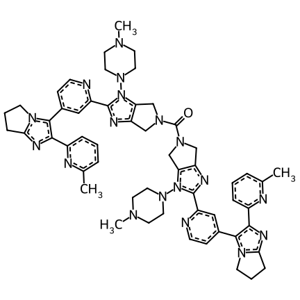 Cc1cccc(-c2nc3n(c2-c2ccnc(-c4nc5c(n4N4CCN(C)CC4)CN(C(=O)N4Cc6nc(-c7cc(-c8c(-c9cccc(C)n9)nc9n8CCC9)ccn7)n(N7CCN(C)CC7)c6C4)C5)c2)CCC3)n1